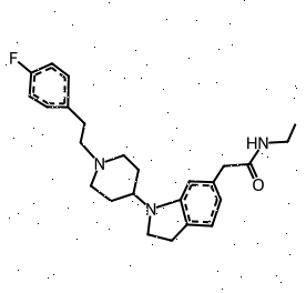 CCNC(=O)Cc1ccc2c(c1)N(C1CCN(CCc3ccc(F)cc3)CC1)CC2